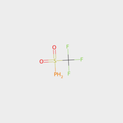 O=S(=O)(P)C(F)(F)F